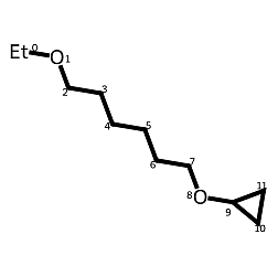 [CH2]COCCCCCCOC1CC1